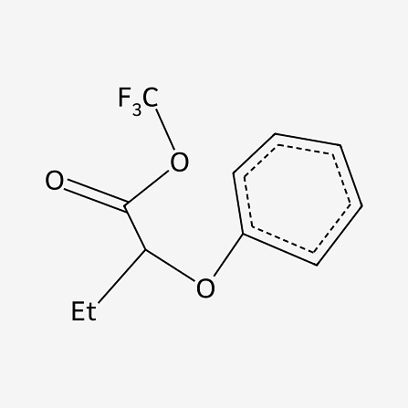 CCC(Oc1ccccc1)C(=O)OC(F)(F)F